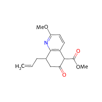 C=CCC1CC(=O)C(C(=O)OC)c2ccc(OC)nc21